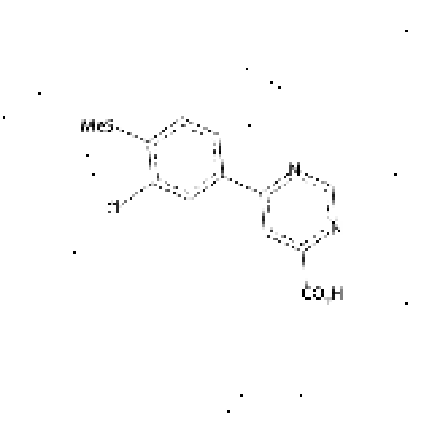 CSc1ccc(-c2cc(C(=O)O)ncn2)cc1Cl